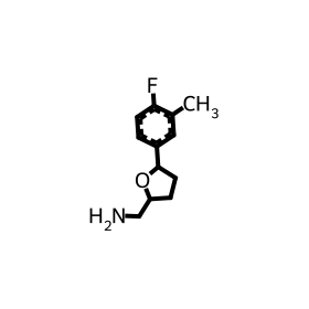 Cc1cc(C2CCC(CN)O2)ccc1F